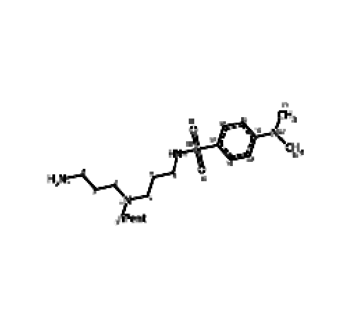 CCCCCN(CCCN)CCCNS(=O)(=O)c1ccc(N(C)C)cc1